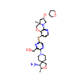 C[C@@H]1OCC2(CCN(c3ncc(Sc4ccnc5c4OC[C@@H]4C[C@H](O[C@@H]6CCOC6)CN54)nc3CO)CC2)[C@@H]1N